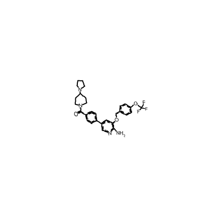 Nc1ncc(-c2ccc(C(=O)N3CCC(N4CCCC4)CC3)cc2)cc1OCc1ccc(OC(F)(F)F)cc1